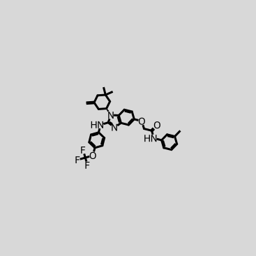 C=C1C[C@H](n2c(Nc3ccc(OC(F)(F)F)cc3)nc3cc(OCC(=O)Nc4cccc(C)c4)ccc32)CC(C)(C)C1